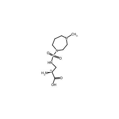 CN1CCCN(S(=O)(=O)NC[C@H](N)C(=O)O)CC1